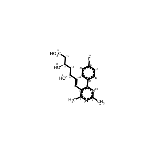 Cc1nc(C)c(/C=C/[C@H](O)C[C@H](O)CC(=O)O)c(-c2ccc(F)cc2)n1